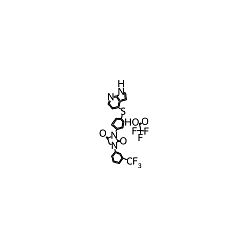 O=C(O)C(F)(F)F.O=C1CN(c2cccc(C(F)(F)F)c2)C(=O)N1c1ccc(Sc2ccnc3[nH]ccc23)cc1